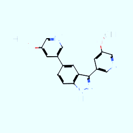 COc1cncc(-c2ccc3[nH]nc(-c4cncc(OC)c4)c3c2)c1